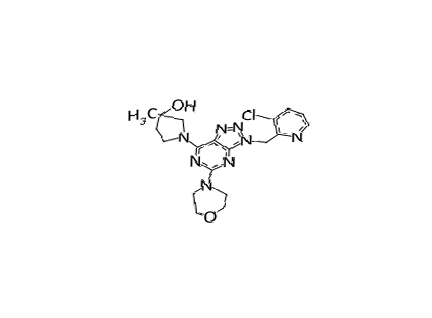 CC1(O)CCN(c2nc(N3CCOCC3)nc3c2nnn3Cc2ncccc2Cl)C1